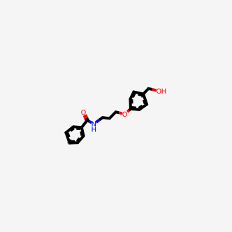 O=C(NCCCOc1ccc(CO)cc1)c1cc[c]cc1